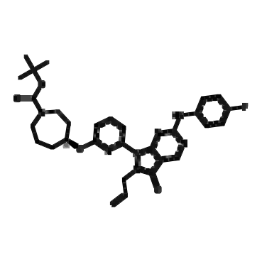 C=CCn1c(=O)c2cnc(Nc3ccc(F)cc3)nc2n1-c1cccc(O[C@H]2CCCN(C(=O)OC(C)(C)C)CC2)n1